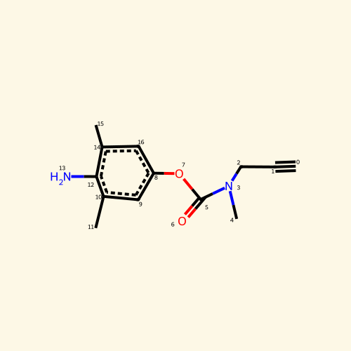 C#CCN(C)C(=O)Oc1cc(C)c(N)c(C)c1